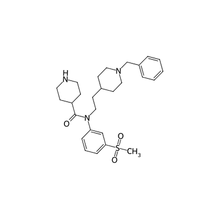 CS(=O)(=O)c1cccc(N(CCC2CCN(Cc3ccccc3)CC2)C(=O)C2CCNCC2)c1